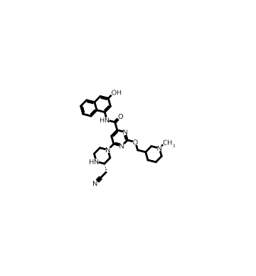 CN1CCCC(COc2nc(C(=O)Nc3cc(O)cc4ccccc34)cc(N3CCN[C@@H](CC#N)C3)n2)C1